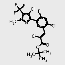 Cn1nc(-c2cc(C=C(Cl)C(=O)OC(C)(C)C)c(Cl)cc2F)c(Cl)c1C(F)(F)F